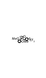 COc1cccc(OC)c1C1SCC(=O)N1Cc1ccc(SC(F)(F)F)cc1